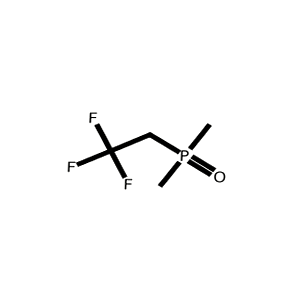 CP(C)(=O)CC(F)(F)F